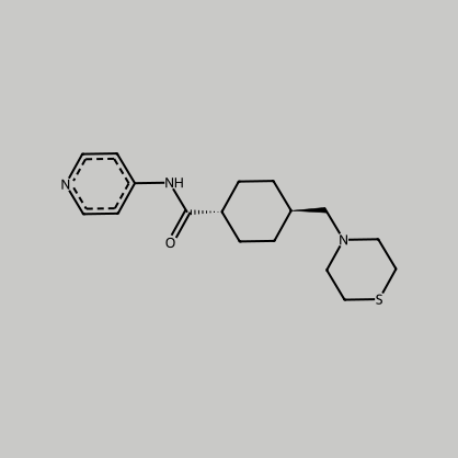 O=C(Nc1ccncc1)[C@H]1CC[C@H](CN2CCSCC2)CC1